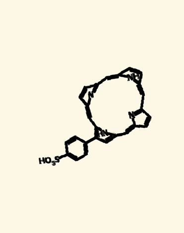 O=S(=O)(O)c1ccc(-c2cc3cc4nc(cc5ccc(cc6nc(cc2[nH]3)C=C6)[nH]5)C=C4)cc1